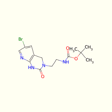 CC(C)(C)OC(=O)NCCN1Cc2cc(Br)cnc2NC1=O